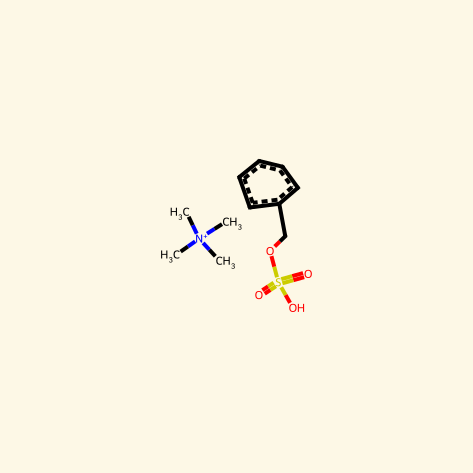 C[N+](C)(C)C.O=S(=O)(O)OCc1ccccc1